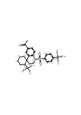 CC(=O)c1ccc2c(c1)C1(CCCCC1C(F)(F)F)CCN2S(=O)(=O)c1ccc(C(F)(F)F)cc1